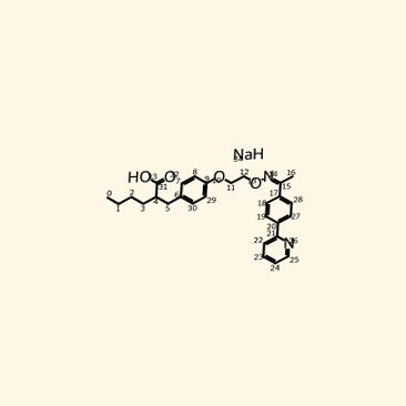 CCCCC(Cc1ccc(OCCO/N=C(/C)c2ccc(-c3ccccn3)cc2)cc1)C(=O)O.[NaH]